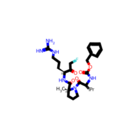 CC(C)C(NC(=O)OCc1ccccc1)C(=O)N1CCC[C@@]1(C)C(=O)N[C@@H](CCCNC(=N)N)C(=O)CF